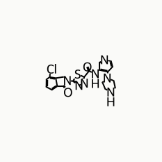 O=C(Nc1cnccc1N1CCNCC1)c1nnc(N2Cc3c(Cl)cccc3C2=O)s1